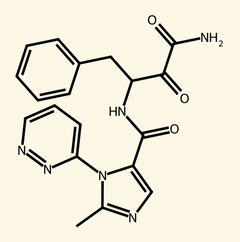 Cc1ncc(C(=O)NC(Cc2ccccc2)C(=O)C(N)=O)n1-c1cccnn1